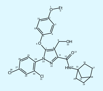 CCOc1ccc(Oc2c(CO)c(C(=O)NC34CCC(CC3)C4)nn2-c2ccc(Cl)cc2Cl)cc1